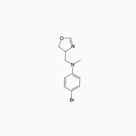 CN(CC1CO[C]=N1)c1ccc(Br)cc1